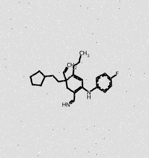 C=CC1(CCC2CCCC2)CC(C=N)=C(Nc2ccc(F)cc2)C=C1CCC